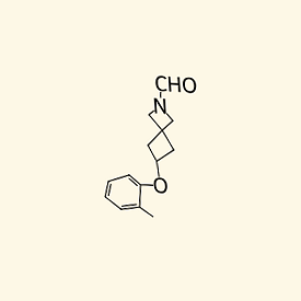 Cc1ccccc1OC1CC2(C1)CN(C=O)C2